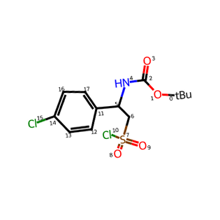 CC(C)(C)OC(=O)NC(CS(=O)(=O)Cl)c1ccc(Cl)cc1